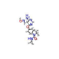 CON=Cc1c(N)ncnc1Oc1ccc2c(c1)cc(C)n2C(=O)NC1CC1